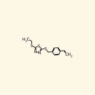 C=Cc1ccc(CSc2nnc(SCC)s2)cc1